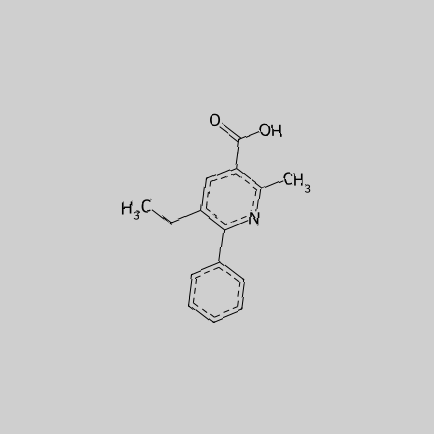 CCc1cc(C(=O)O)c(C)nc1-c1ccccc1